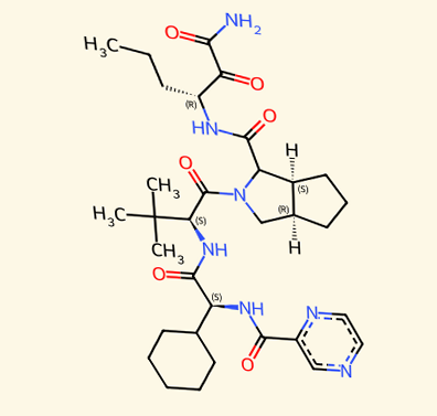 CCC[C@@H](NC(=O)C1[C@H]2CCC[C@H]2CN1C(=O)[C@@H](NC(=O)[C@@H](NC(=O)c1cnccn1)C1CCCCC1)C(C)(C)C)C(=O)C(N)=O